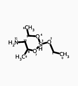 CCO[SiH](OCC)OC(C)CN